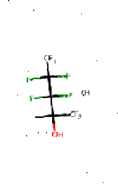 CC(O)(C(F)(F)F)C(F)(F)C(F)(F)C(F)(F)F.[KH]